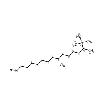 CCCCCCCCCCCCCCCCCCCCCCC(C)[N+](C)(C)O.[Cl-]